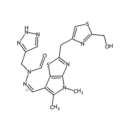 Cc1c(/C=N\N(C=O)Cc2cn[nH]n2)c2sc(Cc3csc(CO)n3)nc2n1C